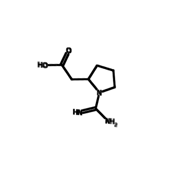 N=C(N)N1CCCC1CC(=O)O